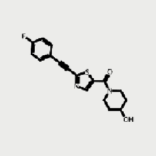 O=C(c1cnc(C#Cc2ccc(F)cc2)s1)N1CCC(O)CC1